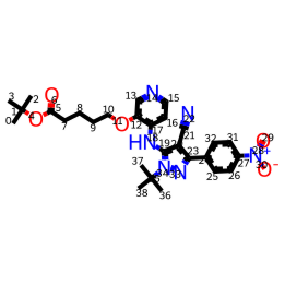 CC(C)(C)OC(=O)CCCCOc1cnccc1Nc1c(C#N)c(-c2ccc([N+](=O)[O-])cc2)nn1C(C)(C)C